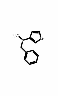 CN(Cc1ccccc1)c1cc[nH]c1